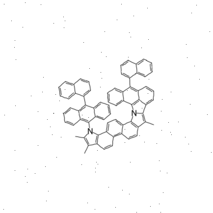 Cc1c(C)n(-c2c3ccccc3c(-c3cccc4ccccc34)c3ccccc23)c2c1ccc1c3ccc4c(C)c5c6cccc7c(-c8cccc9ccccc89)c8ccccc8c(c76)n5c4c3ccc12